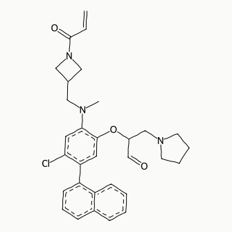 C=CC(=O)N1CC(CN(C)c2cc(Cl)c(-c3cccc4ccccc34)cc2OC(C=O)CN2CCCC2)C1